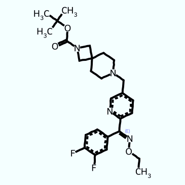 CCO/N=C(\c1ccc(F)c(F)c1)c1ccc(CN2CCC3(CC2)CN(C(=O)OC(C)(C)C)C3)cn1